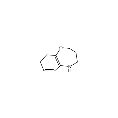 C1=CC2=C(CC1)OCCCN2